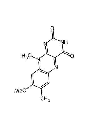 COc1cc2c(cc1C)nc1c(=O)[nH]c(=O)nc-1n2C